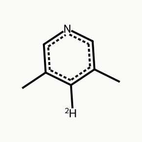 [2H]c1c(C)cncc1C